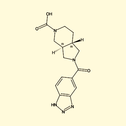 O=C(O)N1CC[C@@H]2CN(C(=O)c3ccc4[nH]nnc4c3)C[C@H]2C1